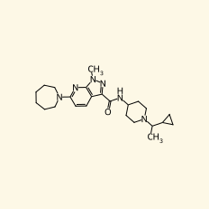 CC(C1CC1)N1CCC(NC(=O)c2nn(C)c3nc(N4CCCCCC4)ccc23)CC1